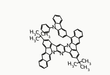 CC(C)(C)c1cc2c3cc4ccccc4cc3n3c4nc5c6cc(C(C)(C)C)cc7c8cc9ccccc9c(-c9ccc%10c(c9)c9ccccc9n%10-c9ccccc9)c8n(c5cc4c(c1)c23)c76